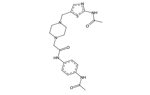 CC(=O)Nc1ccc(NC(=O)CN2CCN(Cc3cnc(NC(C)=O)s3)CC2)cc1